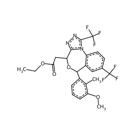 CCOC(=O)CC1OC(c2cccc(OC)c2C)c2cc(C(F)(F)F)ccc2-n2c1nnc2C(F)(F)F